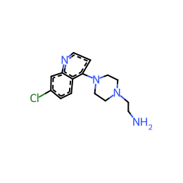 NCCN1CCN(c2ccnc3cc(Cl)ccc23)CC1